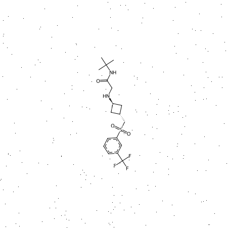 CC(C)(C)NC(=O)CN[C@H]1C[C@H](CS(=O)(=O)c2cccc(C(F)(F)F)c2)C1